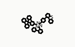 c1ccc(-c2ccccc2-c2nc(-c3ccc(-c4cccc5sc6ccccc6c45)cc3)nc(-c3ccc4c(c3)-c3ccccc3C43c4ccccc4-c4ccccc43)n2)cc1